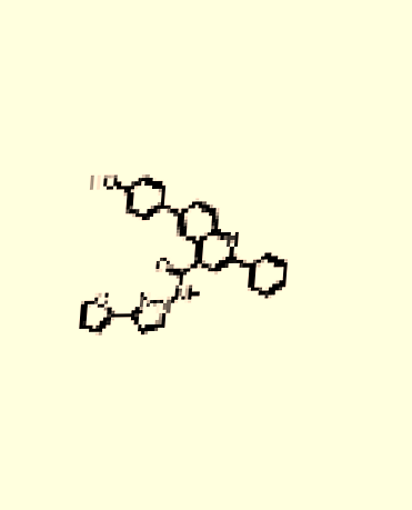 O=C(Nn1ccc(-c2ccco2)n1)c1cc(-c2ccccc2)nc2ccc(-c3ccc(O)cc3)cc12